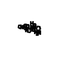 O=C(CN1CCC[C@H](NS(=O)(=O)c2cccc3nsnc23)C1=O)N1CCCC1